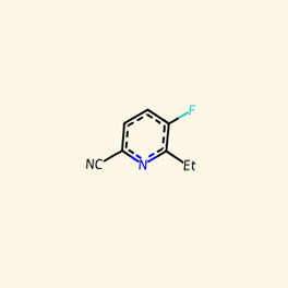 CCc1nc(C#N)ccc1F